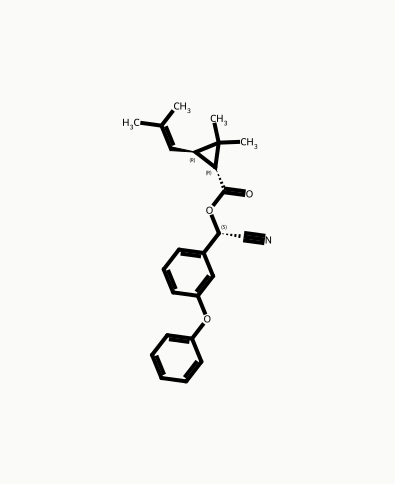 CC(C)=C[C@@H]1[C@@H](C(=O)O[C@H](C#N)c2cccc(Oc3ccccc3)c2)C1(C)C